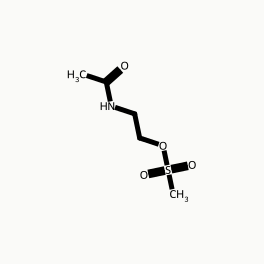 CC(=O)NCCOS(C)(=O)=O